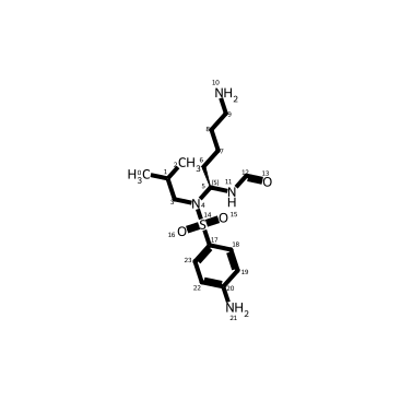 CC(C)CN([C@@H](CCCCN)NC=O)S(=O)(=O)c1ccc(N)cc1